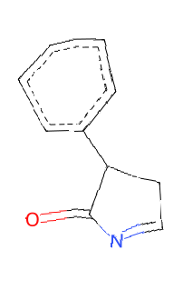 O=C1N=CCC1c1ccccc1